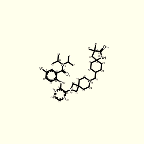 CC(C)N(C(=O)c1cc(F)ccc1Oc1nncnc1N1CC2(CCN(CC3CCC4(CC3)CC(C)(C)C(=O)N4)CC2)C1)C(C)C